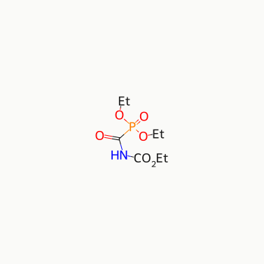 CCOC(=O)NC(=O)P(=O)(OCC)OCC